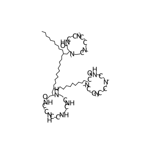 CCCCCCCCCCC(CCCCCCCCCCCC(CCCCCCCCCCC1CC(=O)NCCCN(C)CCCCN(C)CCCN1C)CC1CC(=O)NCCCNCCCNCCCNCCCN1)CC1CC(=O)NCCCN(C)CCCCN(C)CCCN1C